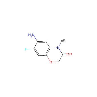 CCCN1C(=O)COc2cc(F)c(N)cc21